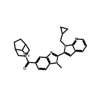 Cn1c(-c2cc3cccnc3n2CC2CC2)nc2cc(C(=O)N3CC4CCC(C3)C4N)ccc21